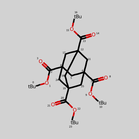 CC(C)(C)OC(=O)C12CC3(C(=O)OC(C)(C)C)CC(C(=O)OC(C)(C)C)(C1)CC(C(=O)OC(C)(C)C)(C2)C3